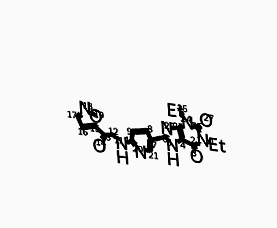 CCn1c(=O)c2[nH]c(-c3ccc(NCC(=O)c4ccno4)nc3)nc2n(CC)c1=O